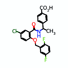 CC(NC(=O)c1cc(Cl)ccc1OCc1cc(F)ccc1F)c1ccc(C(=O)O)cc1